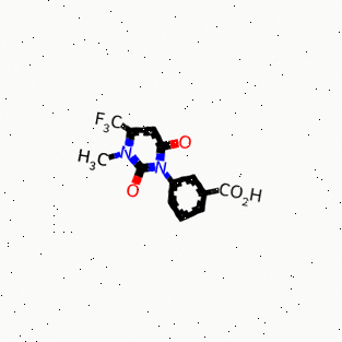 Cn1c(C(F)(F)F)cc(=O)n(-c2cccc(C(=O)O)c2)c1=O